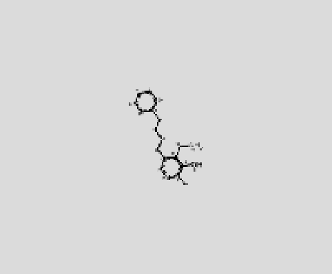 Cc1ncc(CCCCc2ccccc2)c(CN)c1O